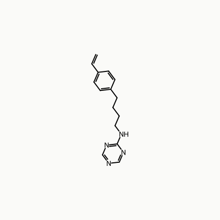 C=Cc1ccc(CCCCNc2ncncn2)cc1